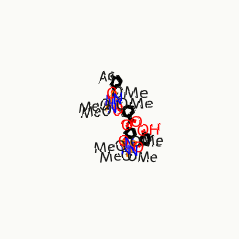 COP1(OC)=NP(OC)(Oc2cccc(OC(=O)c3cccc(OP4(OC)=NP(OC)(OC)=NP(OC)(Oc5cccc(C(C)=O)c5)=N4)c3)c2)=NP(OC)(Oc2cccc(O)c2)=N1